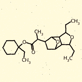 CCC1OC(CC)C2C3OC(CC3C(C)C(=O)OC3(CC)CCCCC3)C12